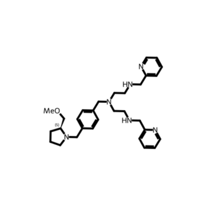 COC[C@@H]1CCCN1Cc1ccc(CN(CCNCc2ccccn2)CCNCc2ccccn2)cc1